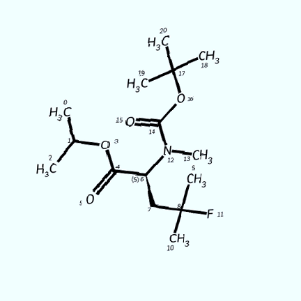 CC(C)OC(=O)[C@H](CC(C)(C)F)N(C)C(=O)OC(C)(C)C